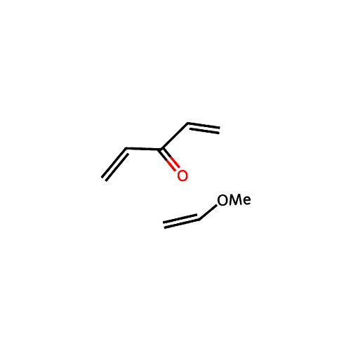 C=CC(=O)C=C.C=COC